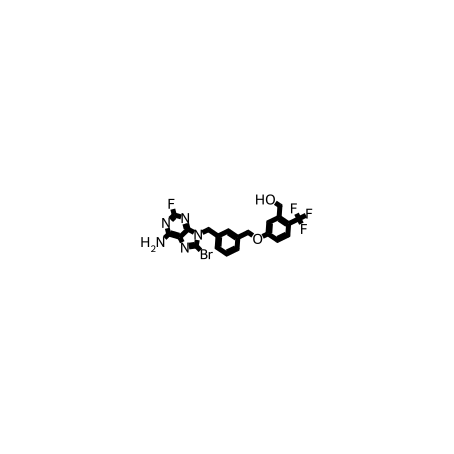 Nc1nc(F)nc2c1nc(Br)n2Cc1cccc(COc2ccc(C(F)(F)F)c(CO)c2)c1